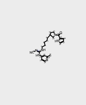 N#C/N=C(/NCCCCCC1CCN(C(=O)c2ccc[nH]2)C1)Nc1ccnc(F)c1